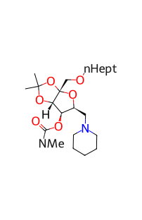 CCCCCCCOC[C@@]12O[C@@H](CN3CCCCC3)[C@@H](OC(=O)NC)[C@@H]1OC(C)(C)O2